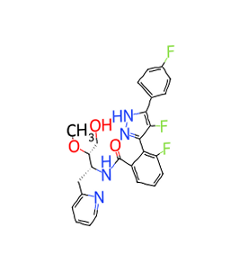 CO[C@H](CO)[C@@H](Cc1ccccn1)NC(=O)c1cccc(F)c1-c1n[nH]c(-c2ccc(F)cc2)c1F